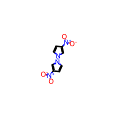 O=[N+]([O-])c1ccn(-n2ccc([N+](=O)[O-])c2)c1